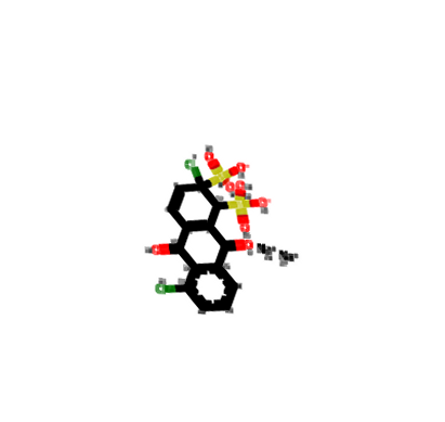 O=C1C2=C(C=CC(Cl)(S(=O)(=O)[O-])C2S(=O)(=O)[O-])C(=O)c2c(Cl)cccc21.[Na+].[Na+]